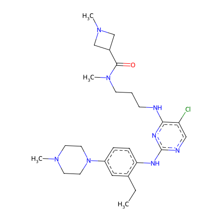 CCc1cc(N2CCN(C)CC2)ccc1Nc1ncc(Cl)c(NCCCN(C)C(=O)C2CN(C)C2)n1